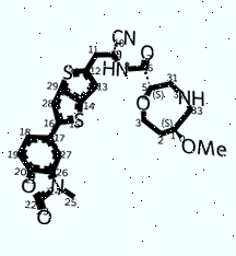 CO[C@H]1CCO[C@H](C(=O)N[C@@H](C#N)Cc2cc3sc(-c4ccc5oc(=O)n(C)c5c4)cc3s2)CNC1